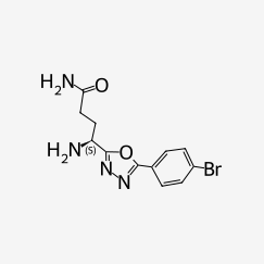 NC(=O)CC[C@H](N)c1nnc(-c2ccc(Br)cc2)o1